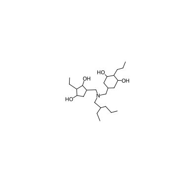 CCCC(CC)CN(CC1CC(O)C(CCC)C(O)C1)CC1CC(O)C(CC)C1O